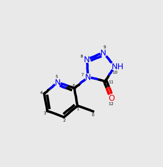 Cc1cccnc1-n1nn[nH]c1=O